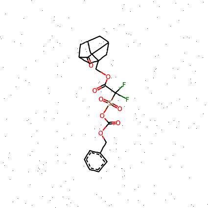 O=C(OCc1ccccc1)OS(=O)(=O)C(F)(F)C(=O)OCC12CC3CC(C1)C(=O)C(C3)C2